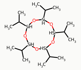 CC(C)[SiH]1O[SiH](C(C)C)O[SiH](C(C)C)O[SiH](C(C)C)O[SiH](C(C)C)O1